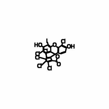 O=C1OC2(c3ccc(O)c(Cl)c3Oc3c(I)c(O)c(Cl)c(I)c32)c2c(Cl)c(Cl)c(Cl)c(Cl)c21